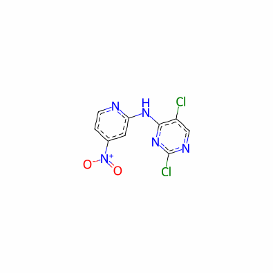 O=[N+]([O-])c1ccnc(Nc2nc(Cl)ncc2Cl)c1